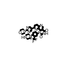 O=c1[nH]c(=O)n(-c2ccc(N3CCNCC3)c(C(F)(F)F)c2)c2c1cnc1ccc(-c3cnc(N4CCOCC4)nc3)nc12